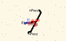 CCCCC/C=C\C/C=C\CCCCCCCC(=O)OCC(COC(=O)CCCCCCC/C=C\C/C=C\CCCCC)COC(=O)C(C)(C)C(CCCCCCCC)OC(=O)NCCN(C)CC